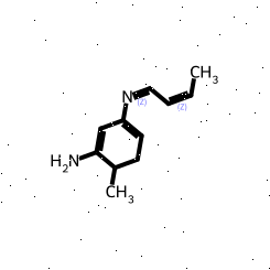 C/C=C\C=N/C1=CCC(C)C(N)=C1